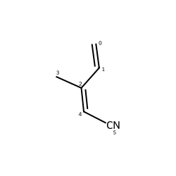 C=CC(C)=CC#N